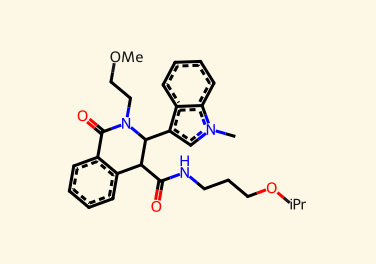 COCCN1C(=O)c2ccccc2C(C(=O)NCCCOC(C)C)C1c1cn(C)c2ccccc12